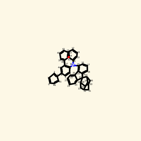 c1ccc(-c2ccc(N(c3ccccc3)c3cccc4c3-c3ccccc3C43C4CC5CC(C4)CC3C5)c(-c3ccccc3)c2)cc1